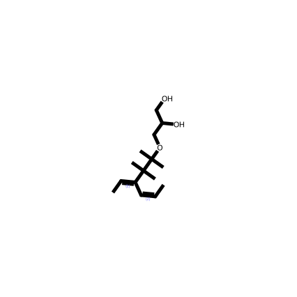 C/C=C\C(=C/C)C(C)(C)C(C)(C)OCC(O)CO